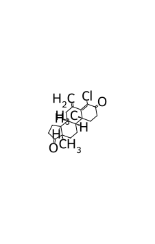 C=C1C[C@@H]2[C@@H](CC[C@]3(C)C(=O)CC[C@@H]23)[C@@]2(C)CCC(=O)C(Cl)=C12